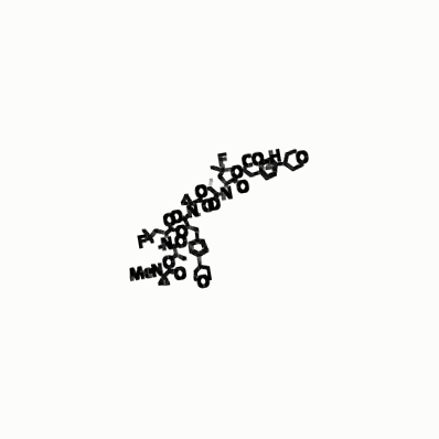 CNC1(C(=O)O[C@H](C)C(=O)N(C)[C@@H](CC(C)(C)F)C(=O)O[C@H](Cc2ccc(C3CCOCC3)cc2)C(=O)N(C)C2(C(=O)O[C@H](C)C(=O)N(C)[C@@H](CC(C)(C)F)C(=O)O[C@H](Cc3ccc(C4CCOCC4)cc3)C(=O)O)CC2)CC1